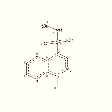 Cc1ncc(S(=O)(=O)NC(C)(C)C)c2ccccc12